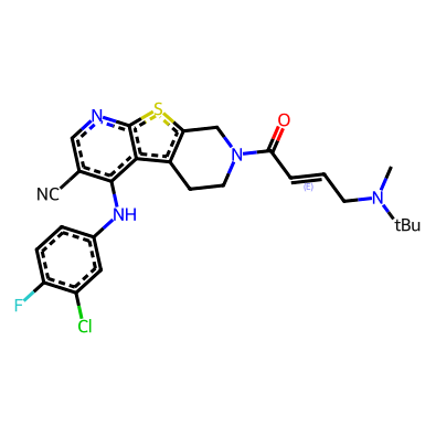 CN(C/C=C/C(=O)N1CCc2c(sc3ncc(C#N)c(Nc4ccc(F)c(Cl)c4)c23)C1)C(C)(C)C